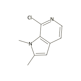 Cc1cc2ccnc(Cl)c2n1C